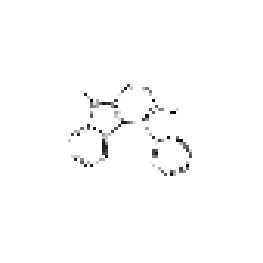 Cn1c2ccccc2c2c3c(ccc21)sc1ccccc13